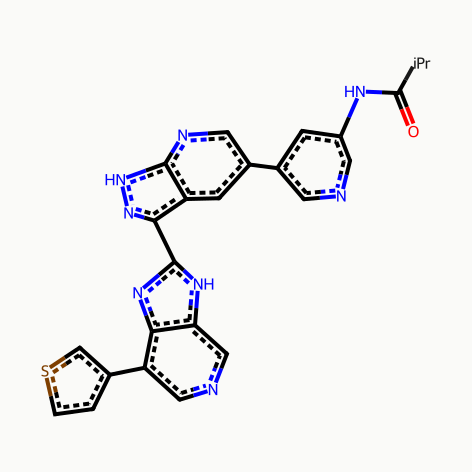 CC(C)C(=O)Nc1cncc(-c2cnc3[nH]nc(-c4nc5c(-c6ccsc6)cncc5[nH]4)c3c2)c1